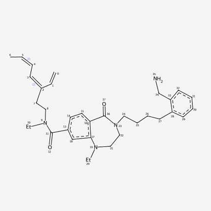 C=C/C(=C\C=C/C)CCN(CC)C(=O)c1ccc2c(c1)N(CC)CCN(CCCCc1ccccc1CN)C2=O